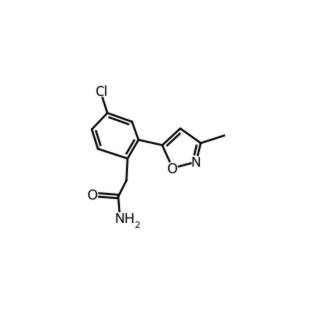 Cc1cc(-c2cc(Cl)ccc2CC(N)=O)on1